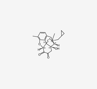 Cc1ccc2c3c1O[C@H]1C(=O)C(=O)C[C@@]4(O)[C@@H](C2)[N+](C)(CC2CC2)CC[C@]314